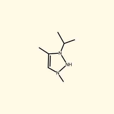 CC1=CN(C)NN1C(C)C